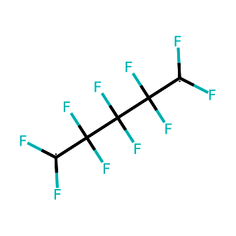 F[C](F)C(F)(F)C(F)(F)C(F)(F)[C](F)F